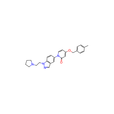 Cc1ccc(COc2ccn(-c3ccc4c(cnn4CCN4CCCC4)c3)c(=O)c2)cc1